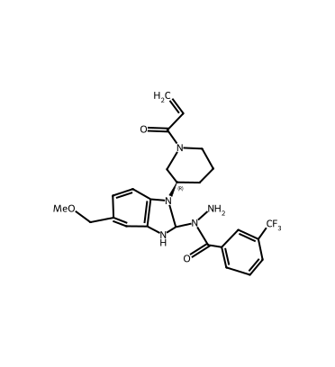 C=CC(=O)N1CCC[C@@H](N2c3ccc(COC)cc3NC2N(N)C(=O)c2cccc(C(F)(F)F)c2)C1